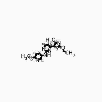 CCOc1nc(C)c(-c2ccnc(Nc3ccc(OC)nc3)n2)s1